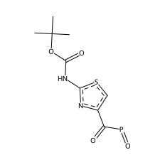 CC(C)(C)OC(=O)Nc1nc(C(=O)P=O)cs1